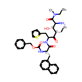 CCC(C)CN(CC)C(=O)C(N)[C@@H](O)[C@H](CC(C)C)C(=O)C(Cc1cccs1)NC(=O)[C@H](Cc1cccc2ccccc12)NC(=O)OCc1ccccc1